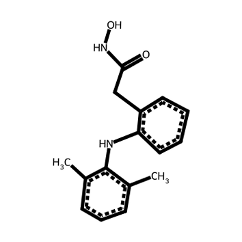 Cc1cccc(C)c1Nc1ccccc1CC(=O)NO